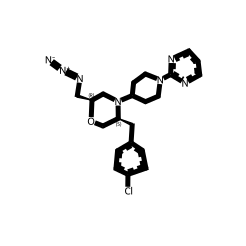 [N-]=[N+]=NC[C@H]1CN(C2CCN(c3ncccn3)CC2)[C@@H](Cc2ccc(Cl)cc2)CO1